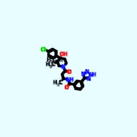 C[C@H](CC(=O)N1CC[C@](O)(c2ccc(Cl)cc2)C(C)(C)C1)NC(=O)c1cccc(-c2nn[nH]n2)c1